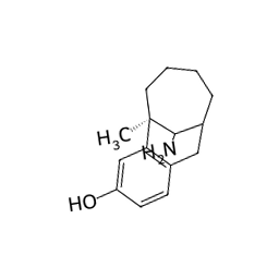 C[C@@]12CCCCC(Cc3ccc(O)cc31)C2N